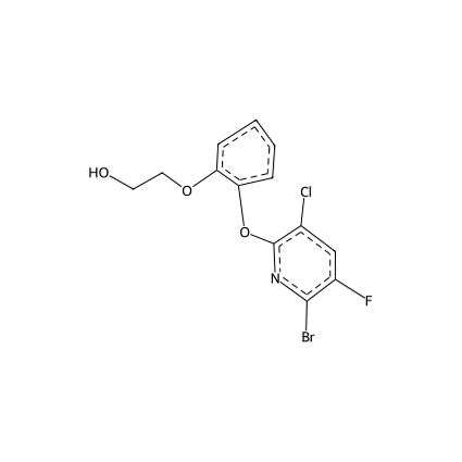 OCCOc1ccccc1Oc1nc(Br)c(F)cc1Cl